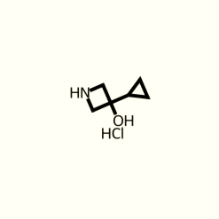 Cl.OC1(C2CC2)CNC1